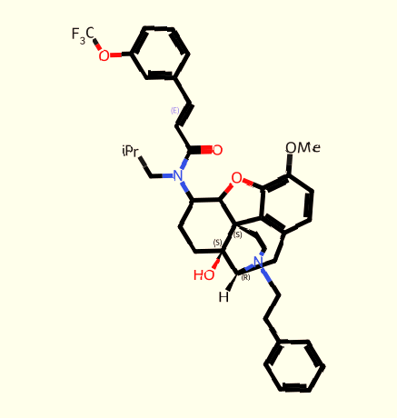 COc1ccc2c3c1OC1C(N(CC(C)C)C(=O)/C=C/c4cccc(OC(F)(F)F)c4)CC[C@@]4(O)[C@@H](C2)N(CCc2ccccc2)CC[C@]314